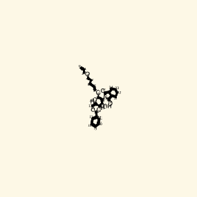 C=CCOCCCCCO[C@@H]1O[C@@H]2COC(c3ccccc3)O[C@H]2[C@H](O)[C@H]1N1C(=O)c2ccccc2C1=O